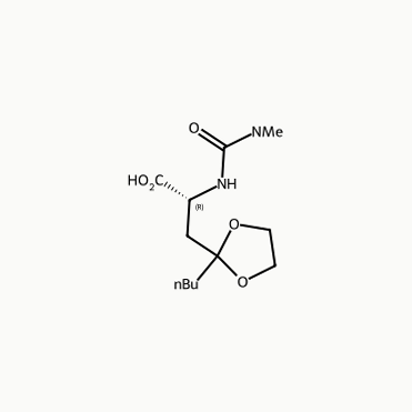 CCCCC1(C[C@@H](NC(=O)NC)C(=O)O)OCCO1